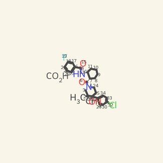 CC1(C)CN(C(=O)[C@H]2CCCC[C@H]2NC(=O)c2cc(F)cc(C(=O)O)c2)CC[C@]1(O)c1ccc(Cl)cc1